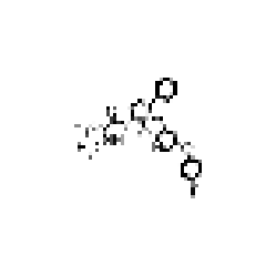 CNC(C)C(=O)Nc1ccc(-c2ccccc2)n(Cc2cncc(Oc3ccc(F)cc3)c2)c1=O